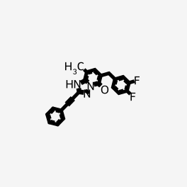 Cc1cc(Cc2ccc(F)c(F)c2)c(=O)n2nc(C#Cc3ccccc3)[nH]c12